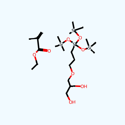 C=C(C)C(=O)OCC.C[Si](C)(C)O[Si](CCCOCC(O)CO)(O[Si](C)(C)C)O[Si](C)(C)C